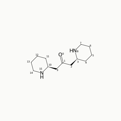 O=C(C[C@@H]1CCCCN1)C[C@@H]1CCCCN1